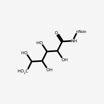 CCCCCCCCCNC(=O)C(O)C(O)C(O)C(O)C(=O)O